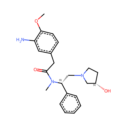 COc1ccc(CC(=O)N(C)[C@H](CN2CC[C@H](O)C2)c2ccccc2)cc1N